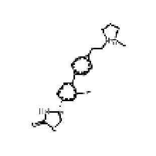 Cc1cc([C@@H]2COC(=O)N2)ccc1-c1ccc(CCN2CCC[C@H]2C)cc1